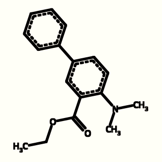 CCOC(=O)c1cc(-c2ccccc2)ccc1N(C)C